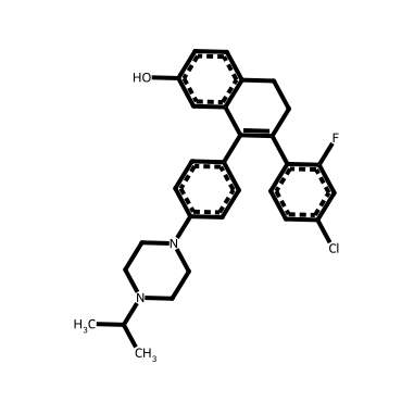 CC(C)N1CCN(c2ccc(C3=C(c4ccc(Cl)cc4F)CCc4ccc(O)cc43)cc2)CC1